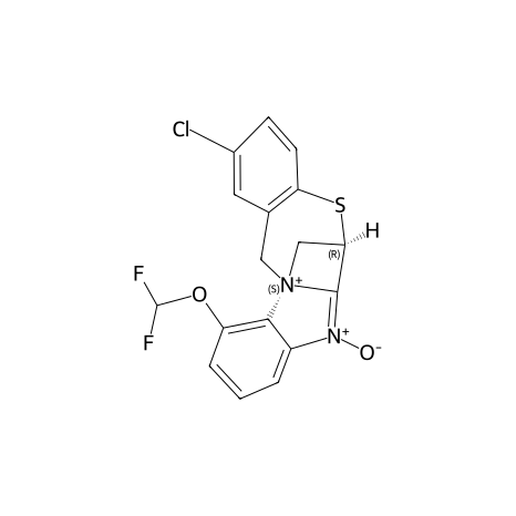 [O-][N+]1=C2[C@H]3C[N@@+]2(Cc2cc(Cl)ccc2S3)c2c(OC(F)F)cccc21